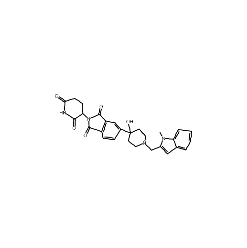 Cn1c(CN2CCC(O)(c3ccc4c(c3)C(=O)N(C3CCC(=O)NC3=O)C4=O)CC2)cc2ccccc21